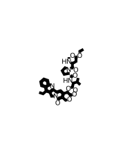 CCOC(=O)CC(NC)C(=O)N1CCC[C@H]1C(=O)N[C@H](C(=O)OC1C(=O)OCc2c1cc1n(c2=O)Cc2c-1nc1ccccc1c2CC)C(C)C